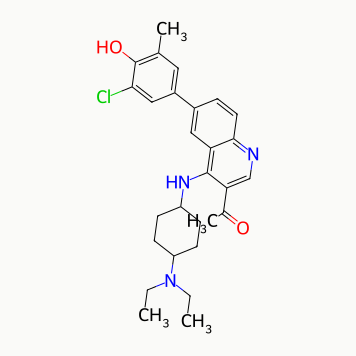 CCN(CC)C1CCC(Nc2c(C(C)=O)cnc3ccc(-c4cc(C)c(O)c(Cl)c4)cc23)CC1